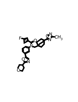 Cc1noc(C23CCC(CN(C(=O)C45CC(F)(C4)C5)c4cccc(-c5cnc(C6CCOCC6)o5)c4)(CC2)CC3)n1